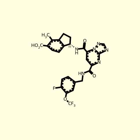 Cc1c(C(=O)O)ccc2c1CC[C@@H]2NC(=O)c1cc(C(=O)NCc2ccc(F)c(OC(F)(F)F)c2)nc2ncnn12